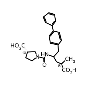 C[C@H](CC(Cc1ccc(-c2ccccc2)cc1)NC(=O)N1CC[C@H](C(=O)O)C1)C(=O)O